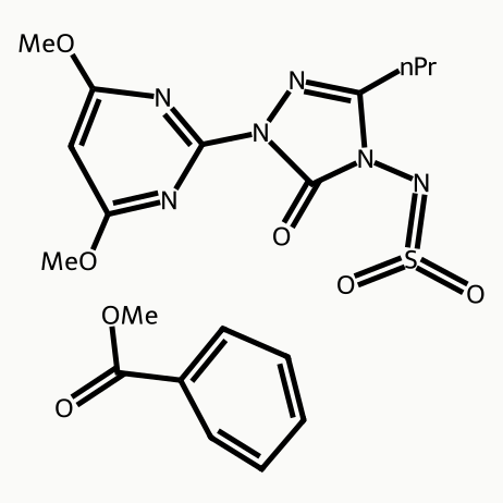 CCCc1nn(-c2nc(OC)cc(OC)n2)c(=O)n1N=S(=O)=O.COC(=O)c1ccccc1